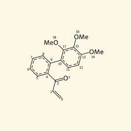 C=CC(=O)c1ccccc1-c1ccc(OC)c(OC)c1OC